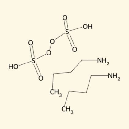 CCCCN.CCCCN.O=S(=O)(O)OOS(=O)(=O)O